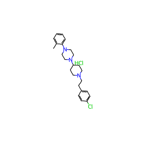 Cc1ccccc1N1CCN(C2CCN(CCc3ccc(Cl)cc3)CC2)CC1.Cl